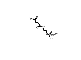 CC(C)OP(=O)(O)OCCNC(=O)CCC(=O)C(C)C